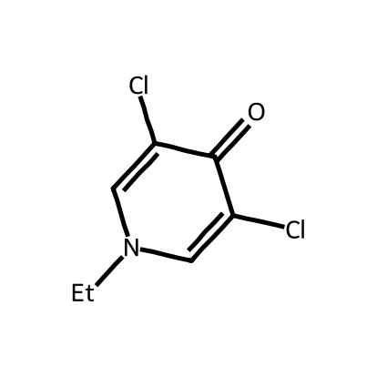 CCn1cc(Cl)c(=O)c(Cl)c1